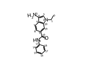 CCn1cc(N)c2ccc(C(=O)Nc3ccccc3)cc21